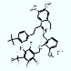 COc1cc2c(cc1OC)C(CCc1ccc(C(C)(C)C)cc1)=[N+](Cc1cccc(OC)c1OCc1c(F)c(F)c(C(F)(F)F)c(F)c1F)CC2.[Cl-]